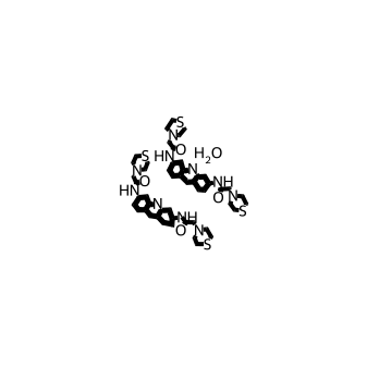 O.O=C(CN1CCSCC1)Nc1ccc2cc3ccc(NC(=O)CN4CCSCC4)cc3nc2c1.O=C(CN1CCSCC1)Nc1ccc2cc3ccc(NC(=O)CN4CCSCC4)cc3nc2c1